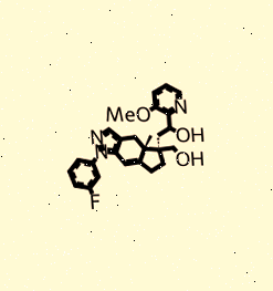 COc1cccnc1C(O)C[C@]1(CO)CCC2=Cc3c(cnn3-c3cccc(F)c3)C[C@@]21C